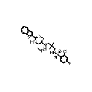 CC(C)C[C@H](NC(=O)c1cc2ccccc2s1)C(=O)NCC(C)(C)CNS(=O)(=O)c1ccc(F)cc1Cl